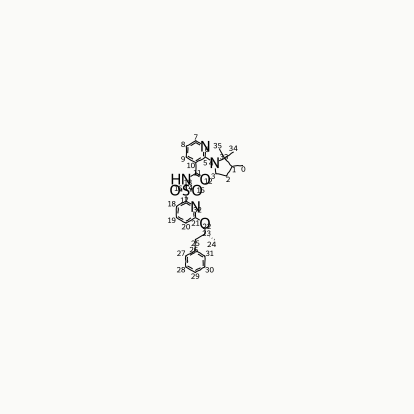 CC1CCN(c2ncccc2C(=O)NS(=O)(=O)c2cccc(O[C@H](C)Cc3ccccc3)n2)C1(C)C